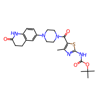 Cc1nc(NC(=O)OC(C)(C)C)sc1C(=O)N1CCN(c2ccc3c(c2)CCC(=O)N3)CC1